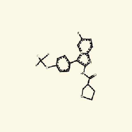 O=C(Nc1nc2ccc(F)cn2c1-c1ccc(OC(F)(F)F)cc1)C1CCOC1